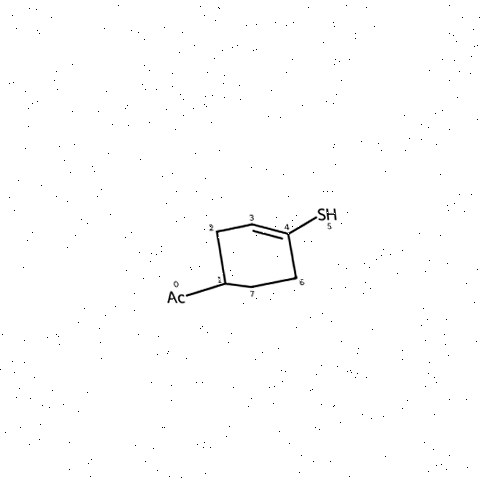 CC(=O)C1CC=C(S)CC1